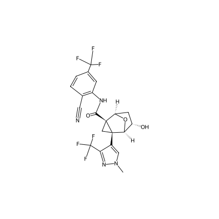 Cn1cc([C@@]23C[C@]2(C(=O)Nc2cc(C(F)(F)F)ccc2C#N)[C@H]2C[C@H](O)[C@@H]3O2)c(C(F)(F)F)n1